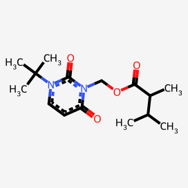 CC(C)C(C)C(=O)OCn1c(=O)ccn(C(C)(C)C)c1=O